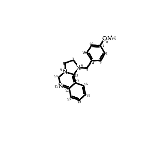 COc1ccc(CN2CCN3CN=c4ccccc4=C32)cc1